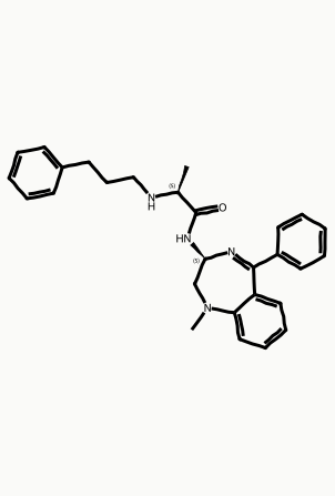 C[C@H](NCCCc1ccccc1)C(=O)N[C@@H]1CN(C)c2ccccc2C(c2ccccc2)=N1